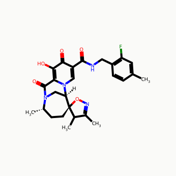 CC1=NO[C@]2(CC[C@H](C)N3C[C@H]2n2cc(C(=O)NCc4ccc(C)cc4F)c(=O)c(O)c2C3=O)C1C